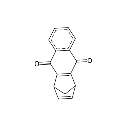 O=C1C2=C(C(=O)c3ccccc31)C1C=CC2C1